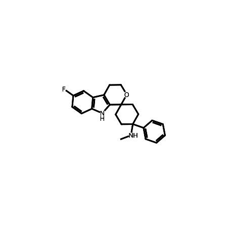 CNC1(c2ccccc2)CCC2(CC1)OCCc1c2[nH]c2ccc(F)cc12